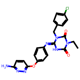 CCn1c(=O)[nH]/c(=N\c2ccc(Oc3ccc(N)nn3)cc2)n(Cc2ccc(Cl)cc2)c1=O